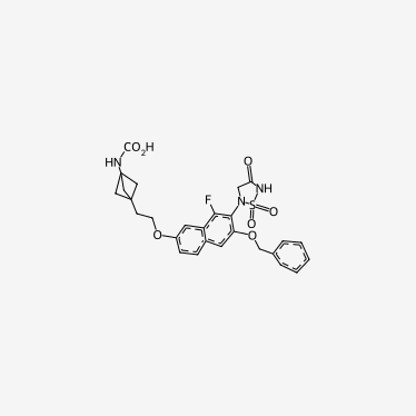 O=C(O)NC12CC(CCOc3ccc4cc(OCc5ccccc5)c(N5CC(=O)NS5(=O)=O)c(F)c4c3)(C1)C2